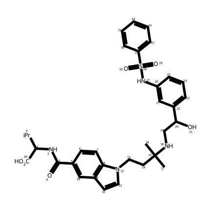 CC(C)C(NC(=O)c1ccc2c(ccn2CCC(C)(C)NCC(O)c2cccc(NS(=O)(=O)c3ccccc3)c2)c1)C(=O)O